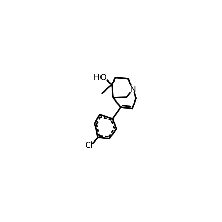 CC1(O)CCN2CC=C(c3ccc(Cl)cc3)C1C2